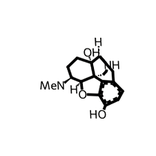 CN[C@H]1CC[C@@]2(O)[C@H]3Cc4ccc(O)c5c4[C@@]2(CCN3)[C@H]1O5